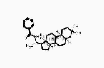 C[C@H](NC(=O)c1ccccc1)C1CC[C@H]2[C@@H]3CC[C@@H]4C[C@](C)(O)CC[C@@H]4[C@H]3CC[C@]12C